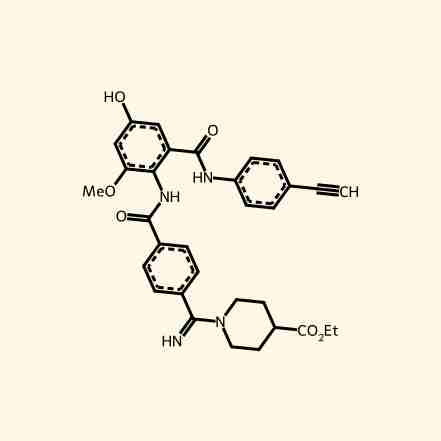 C#Cc1ccc(NC(=O)c2cc(O)cc(OC)c2NC(=O)c2ccc(C(=N)N3CCC(C(=O)OCC)CC3)cc2)cc1